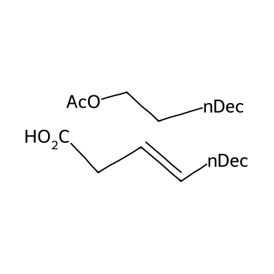 CCCCCCCCCCC=CCC(=O)O.CCCCCCCCCCCCOC(C)=O